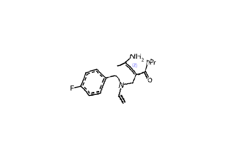 C=CN(C/C(C(=O)CCC)=C(\C)N)Cc1ccc(F)cc1